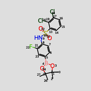 CC1(C)OB(c2ccc(NS(=O)(=O)c3cccc(Cl)c3Cl)c(F)c2)OC1(C)C